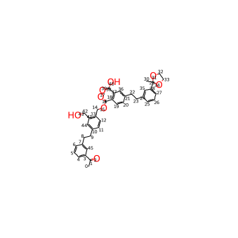 CC(=O)c1cccc(CCc2ccc(COC(=O)c3ccc(CCc4cccc(C5(C)OCCO5)c4)cc3C(=O)O)c(CO)c2)c1